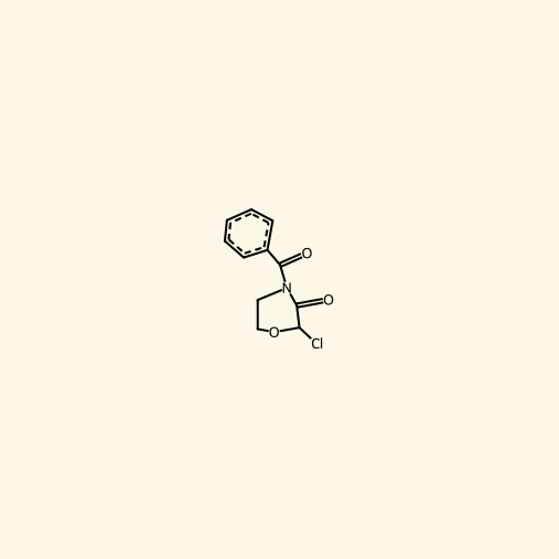 O=C(c1ccccc1)N1CCOC(Cl)C1=O